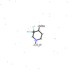 CNC1CCN(C(=O)O)CC1(F)F